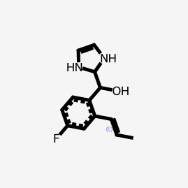 C/C=C/c1cc(F)ccc1C(O)C1NC=CN1